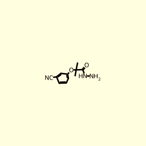 CC(C)(Oc1cccc(C#N)c1)C(=O)NN